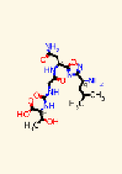 CC(C)C[C@H](N)c1noc([C@H](CC(N)=O)NC(=O)CNC(=O)N[C@H](C(=O)O)C(C)O)n1